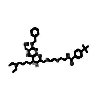 CCN(CC)CCCC[C@H](NC(=O)COCCOCCNC(=O)c1ccc(C(C)(C)C)cc1)C(=O)N[C@@H](CO)C(=O)OCc1ccccc1